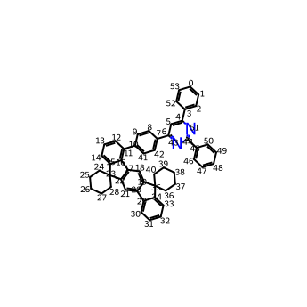 c1ccc(-c2cc(-c3ccc(-c4cccc5c4-c4cc6c(cc4C54CCCCC4)-c4ccccc4C64CCCCC4)cc3)nc(-c3ccccc3)n2)cc1